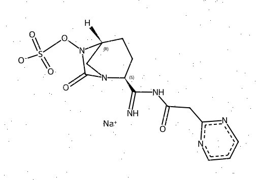 N=C(NC(=O)Cc1ncccn1)[C@@H]1CC[C@@H]2CN1C(=O)N2OS(=O)(=O)[O-].[Na+]